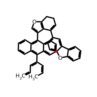 C=C/C=C(\C=C/C)c1c2ccccc2c(-c2coc3c2C(c2ccc4oc5ccccc5c4c2)=CCC3)c2ccccc12